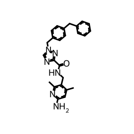 Cc1cc(N)nc(C)c1CNC(=O)c1ncn(Cc2ccc(Cc3ccccc3)cc2)n1